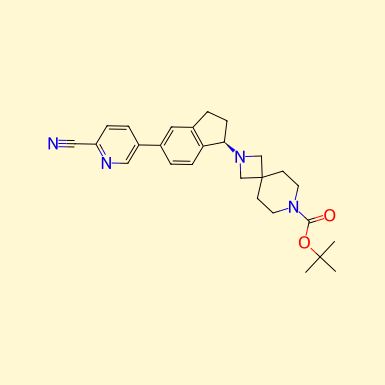 CC(C)(C)OC(=O)N1CCC2(CC1)CN([C@@H]1CCc3cc(-c4ccc(C#N)nc4)ccc31)C2